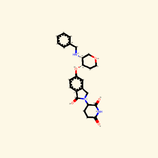 O=C1CCC(N2Cc3cc(O[C@H]4CCOC[C@H]4NCc4ccccc4)ccc3C2=O)C(=O)N1